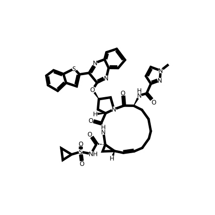 Cn1ccc(C(=O)N[C@H]2CCCCCC=C[C@@H]3C[C@@]3(C(=O)NS(=O)(=O)C3CC3)NC(=O)[C@@H]3C[C@@H](Oc4nc5ccccc5nc4-c4cc5ccccc5s4)CN3C2=O)n1